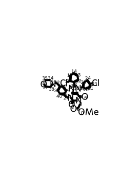 COC(=O)Cn1c(=O)c2c(nc(-c3ccccc3Cl)n2-c2ccc(Cl)cc2)n(Cc2ccc(CN3CCOCC3)cc2)c1=O